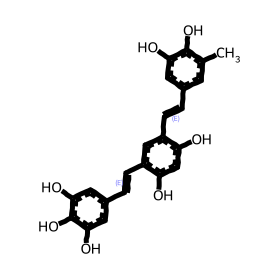 Cc1cc(/C=C/c2cc(/C=C/c3cc(O)c(O)c(O)c3)c(O)cc2O)cc(O)c1O